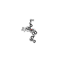 CC(C)(C)c1cc(NC(=O)N[C@H]2CC[C@@H](Oc3ccc4nnc(N5CCCCC5)n4c3)c3ccccc32)n(-c2cccc(OCCO)c2)n1